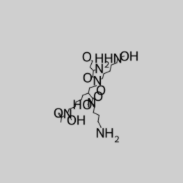 CC(=O)N(O)CCCCCC(CC(=O)N(CCCCCNO)C(=O)C(N)CC=O)C(=O)N(O)CCCCCN